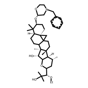 CCO[C@@H](C1C[C@@H](C)[C@H]2C(O1)[C@H](O)[C@@]1(C)C3CC[C@H]4C(C)(C)[C@@H](O[C@H]5CN(Cc6ccccc6)CCO5)CC[C@@]45CC35CC[C@]21C)C(C)(C)O